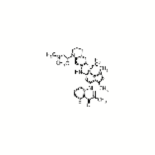 CNC(=O)c1c(F)cccc1Nc1nc(Nc2cc3c(cc2OC)CCCN3C(=O)CN(C)C)nc2c1c(C)cn2C